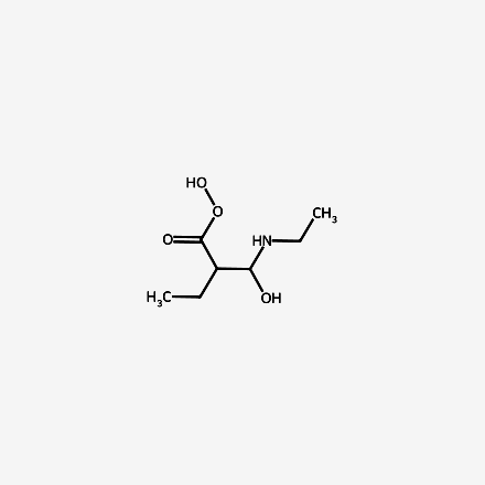 CCNC(O)C(CC)C(=O)OO